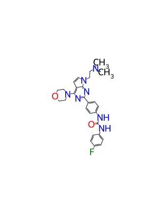 CN(C)CCn1ccc2c(N3CCOCC3)nc(-c3ccc(NC(=O)Nc4ccc(F)cc4)cc3)nc21